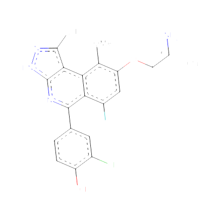 COc1c(OC[C@H](N)C(C)(C)C)cc(F)c2c(-c3ccc(O)c(Cl)c3)nc3[nH]nc(C)c3c12